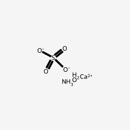 N.O.O=S(=O)([O-])[O-].[Ca+2]